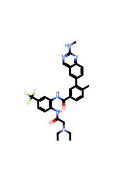 CCN(CC)CC(=O)Nc1ccc(C(F)(F)F)cc1NC(=O)c1ccc(C)c(-c2ccc3nc(NC)ncc3c2)c1